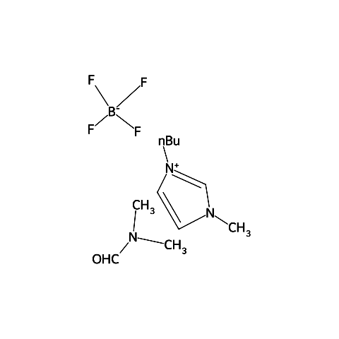 CCCC[n+]1ccn(C)c1.CN(C)C=O.F[B-](F)(F)F